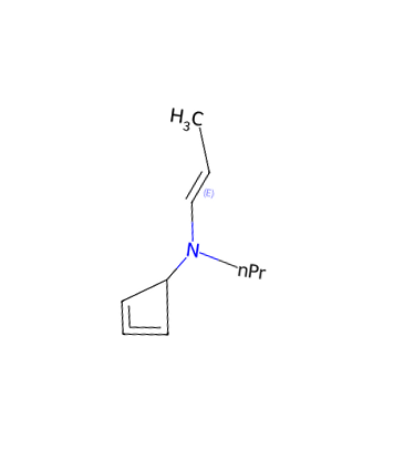 C/C=C/N(CCC)C1C=C=C1